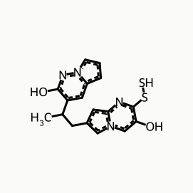 CC(Cc1cc2nc(SS)c(O)cn2c1)c1cc2cccn2nc1O